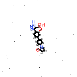 O=C(O)c1[nH]nnc1-c1ccc(-c2ccc(N3CCCC3=O)cc2)cc1